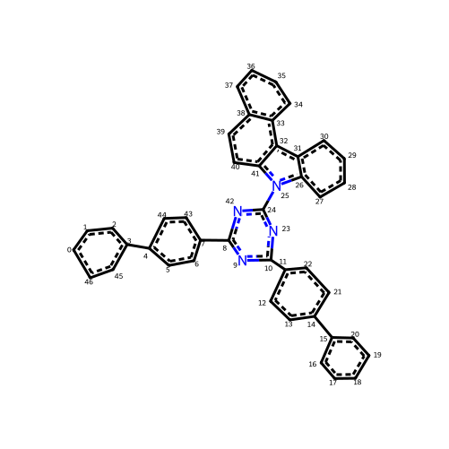 c1ccc(-c2ccc(-c3nc(-c4ccc(-c5ccccc5)cc4)nc(-n4c5ccccc5c5c6ccccc6ccc54)n3)cc2)cc1